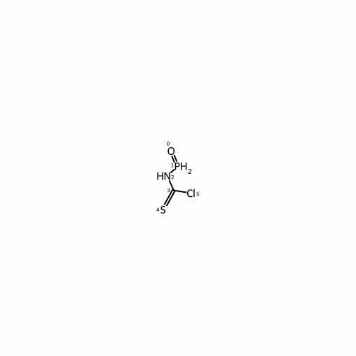 O=[PH2]NC(=S)Cl